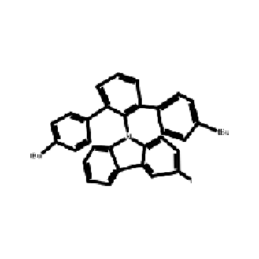 CC(C)(C)c1ccc(-c2cccc(-c3ccc(C(C)(C)C)cc3)c2-n2c3ccccc3c3cc(I)ccc32)cc1